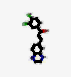 O=C(/C=C/c1ccc2nccnc2c1)c1ccc(Cl)c(Cl)c1